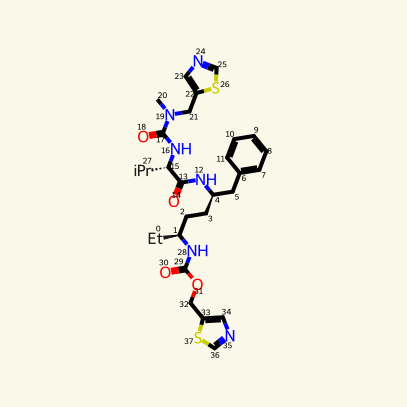 CC[C@@H](CC[C@H](Cc1ccccc1)NC(=O)[C@@H](NC(=O)N(C)Cc1cncs1)C(C)C)NC(=O)OCc1cncs1